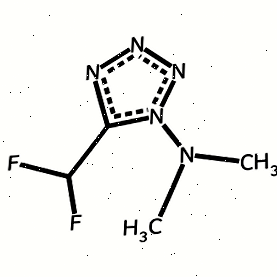 CN(C)n1nnnc1C(F)F